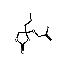 C=C(F)COC1(CCC)COC(=O)O1